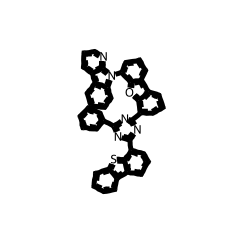 c1ccc(-c2nc(-c3cccc4c3oc3c(-n5c6ccccc6c6cccnc65)cccc34)nc(-c3cccc4c3sc3ccccc34)n2)cc1